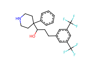 OC(CCc1cc(C(F)(F)F)cc(C(F)(F)F)c1)C1(c2ccccc2)CCNCC1